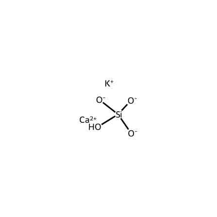 [Ca+2].[K+].[O-][Si]([O-])([O-])O